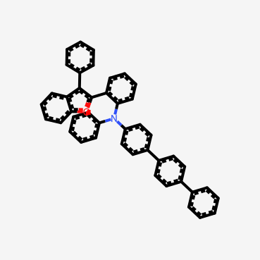 c1ccc(-c2ccc(-c3ccc(N(c4ccccc4)c4ccccc4-c4oc5ccccc5c4-c4ccccc4)cc3)cc2)cc1